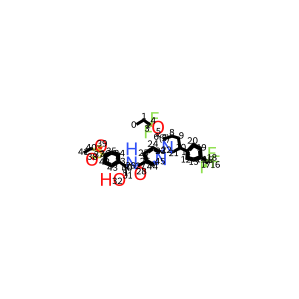 CCC(F)(F)OC[C@@H]1CCC(c2ccc(C(F)(F)F)cc2)CN1c1ccc(C(=O)N[C@@H](CO)c2ccc(S(=O)(=O)CC)cc2)cn1